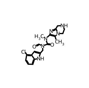 Cc1c(N(C)C(=O)N(C=O)Cc2cc3c(Cl)cccc3[nH]2)nc2n1CCNC2